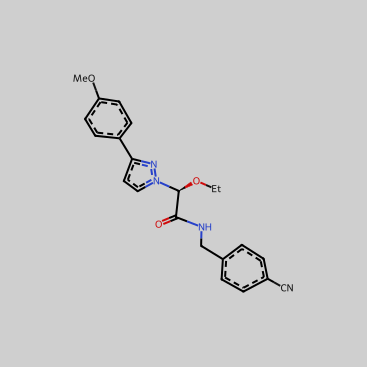 CCO[C@@H](C(=O)NCc1ccc(C#N)cc1)n1ccc(-c2ccc(OC)cc2)n1